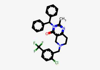 Cc1nc2c(c(=O)n1C(c1ccccc1)c1ccccc1)CN(Cc1cc(C(F)(F)F)ccc1Cl)CC2